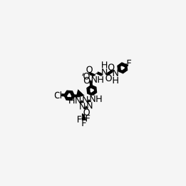 COC(=O)[C@H](CCNC(=O)C(=O)Nc1ccc(F)cc1)NC(=O)c1ccc(Nc2nc(NC3(c4ccc(Cl)cc4)CC3)nc(OCC(F)(F)F)n2)cc1